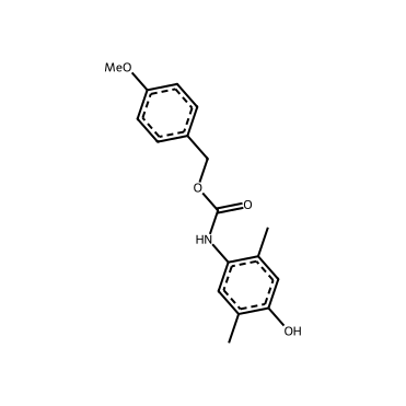 COc1ccc(COC(=O)Nc2cc(C)c(O)cc2C)cc1